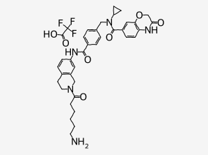 NCCCCCC(=O)N1CCc2ccc(NC(=O)c3ccc(CN(C(=O)c4ccc5c(c4)OCC(=O)N5)C4CC4)cc3)cc2C1.O=C(O)C(F)(F)F